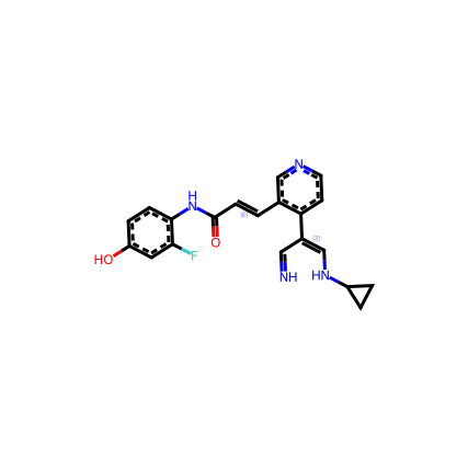 N=C/C(=C\NC1CC1)c1ccncc1/C=C/C(=O)Nc1ccc(O)cc1F